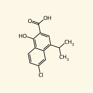 CC(C)c1cc(C(=O)O)c(O)c2ccc(Cl)cc12